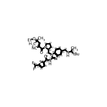 CCOC(C)(C)C=C(C#N)C(=O)N1CCCC1Cn1c(NC(=O)c2ccc(C(F)F)s2)nc2cc(CNC(C)C(C)(C)C)ccc21